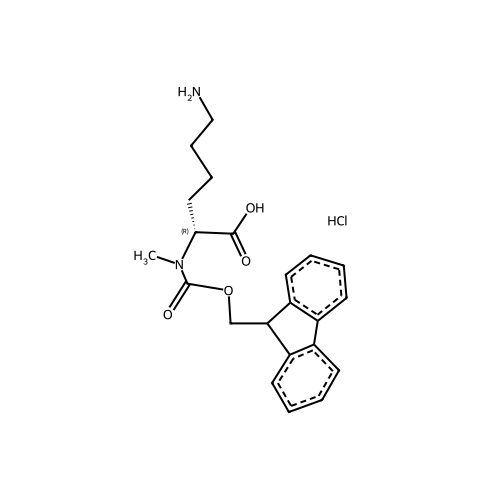 CN(C(=O)OCC1c2ccccc2-c2ccccc21)[C@H](CCCCN)C(=O)O.Cl